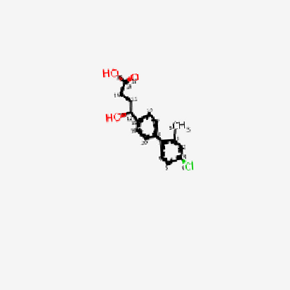 Cc1cc(Cl)ccc1-c1ccc(C(O)CCC(=O)O)cc1